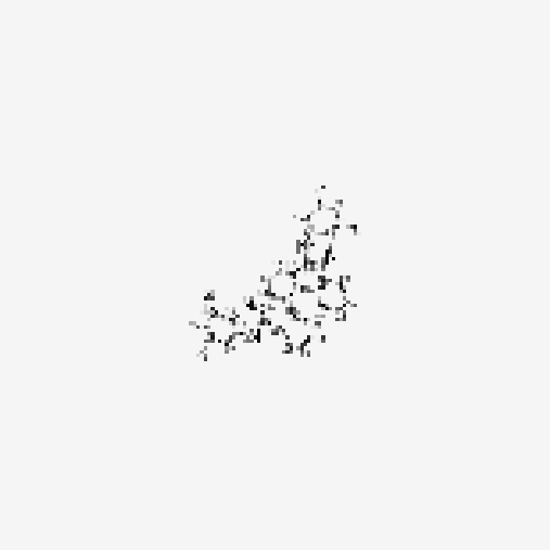 Cc1cc(C)c2nc(-c3ccccc3)c(-c3ccc(-c4nc5c(C)cc(C)cc5nc4-c4ccccc4)cc3)nc2c1